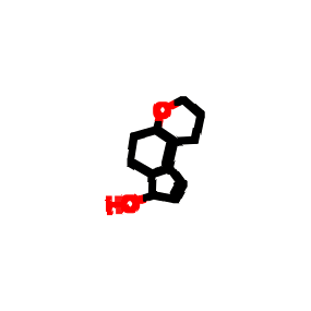 OC1C=CC2=C3CCCOC3CCC21